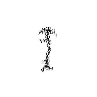 C[C@@H]1O[C@@H](OCCOCCNC(=O)CCOCCOCCOCCOCCNC(=O)COc2ccc(-c3ccccc3)cc2C(=O)O)[C@H](O)[C@H](O)[C@H]1O